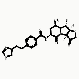 CC1C[C@H](NC(=O)c2ccc(CCC3CNC=N3)cc2)C(=O)N2C1[C@H](F)[C@H]1OCC(=O)[C@H]12